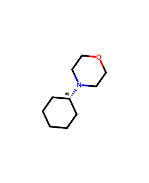 [CH]1CCCC[C@@H]1N1CCOCC1